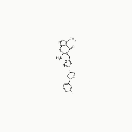 Cc1cnn2nc(N)n(Cc3nc([C@@H]4CO[C@@H](c5cccc(F)c5)C4)no3)c(=O)c12